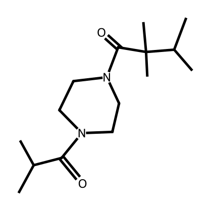 CC(C)C(=O)N1CCN(C(=O)C(C)(C)C(C)C)CC1